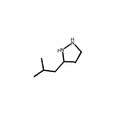 CC(C)CC1CCNN1